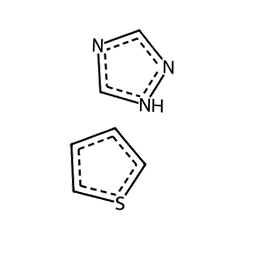 c1ccsc1.c1nc[nH]n1